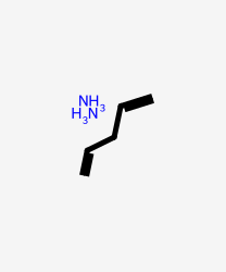 C=CCC=C.N.N